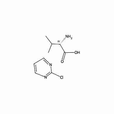 CC(C)[C@H](N)C(=O)O.Clc1ncccn1